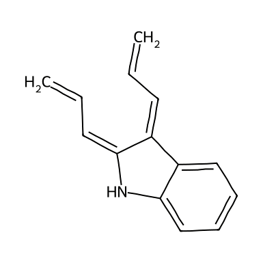 C=C/C=c1\c(=C/C=C)[nH]c2ccccc12